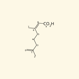 C=C(C)CCC/C(C)=C\C(=O)O